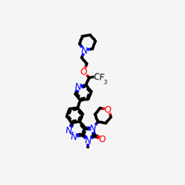 Cn1c(=O)n(C2CCOCC2)c2c3cc(-c4ccc(C(OCCN5CCCCC5)C(F)(F)F)nc4)ccc3nnc21